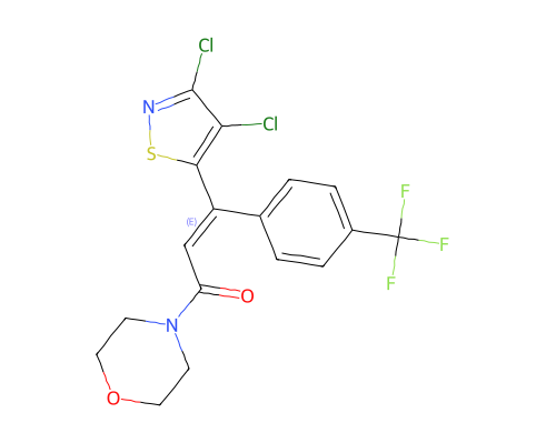 O=C(/C=C(\c1ccc(C(F)(F)F)cc1)c1snc(Cl)c1Cl)N1CCOCC1